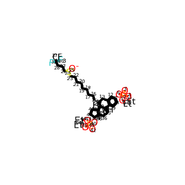 CCOP(=O)(OCC)Oc1ccc2c(c1)C[C@@H](CCCCCCCCC[S+]([O-])CCCC(F)(F)C(F)(F)F)[C@@H]1[C@@H]2CC[C@]2(C)[C@@H](OP(=O)(OCC)OCC)CC[C@@H]12